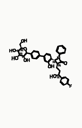 O=C1[C@@H](CC[C@H](O)c2ccc(F)cc2)[C@H](c2ccc(-c3ccc(C4O[C@H](CO)[C@@H](O)[C@H](O)[C@H]4O)cc3)cc2O)N1c1ccccc1